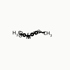 CCCCCOC1CCN(c2ccc(-c3nnc(-c4ccc(C(=O)OC)cc4)s3)cc2)CC1